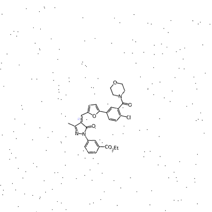 CCOC(=O)c1cccc(N2N=C(C)/C(=C/c3ccc(-c4ccc(Cl)c(C(=O)N5CCOCC5)c4)o3)C2=O)c1